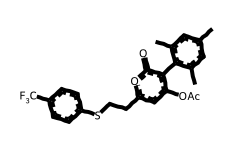 CC(=O)Oc1cc(CCSc2ccc(C(F)(F)F)cc2)oc(=O)c1-c1c(C)cc(C)cc1C